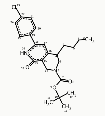 CCCCC1CN(C(=O)OC(C)(C)C)Cc2c1cc(-c1ccc(Cl)cc1)[nH]c2=O